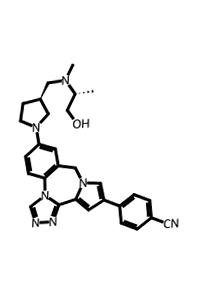 C[C@H](CO)N(C)C[C@@H]1CCN(c2ccc3c(c2)Cn2cc(-c4ccc(C#N)cc4)cc2-c2nncn2-3)C1